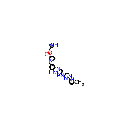 Cc1cccc(-c2nccc(Nc3ccnc(Nc4ccc(CN5CCC[C@@H](C(=O)OCC6CNC6)C5)cc4)n3)n2)n1